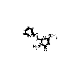 Cc1cc(=O)n(C)c(COc2ccccn2)n1